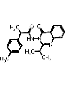 Cc1ccc(C(C)C(=O)Nn2c(C(C)C)nc3ccccc3c2=O)cc1